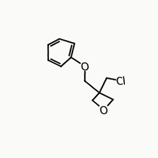 ClCC1(COc2ccccc2)COC1